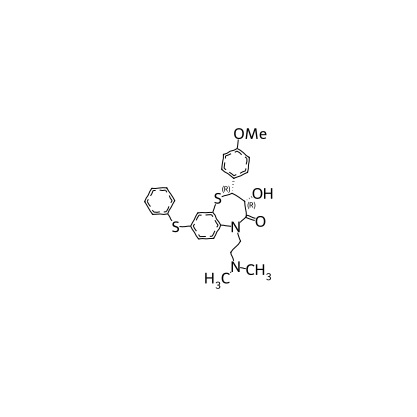 COc1ccc([C@H]2Sc3cc(Sc4ccccc4)ccc3N(CCN(C)C)C(=O)[C@H]2O)cc1